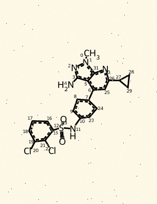 Cn1nc(N)c2c(-c3ccc(NS(=O)(=O)c4cccc(Cl)c4Cl)cc3)cc(C3CC3)nc21